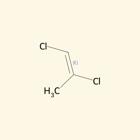 C/C(Cl)=C\Cl